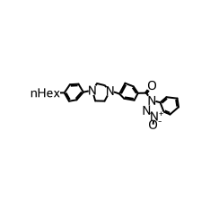 CCCCCCc1ccc(N2CCN(c3ccc(C(=O)n4n[n+]([O-])c5ccccc54)cc3)CC2)cc1